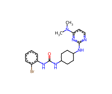 CN(C)c1ccnc(NC2CCC(NC(=O)Nc3ccccc3Br)CC2)n1